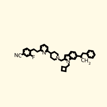 C=C(Cc1ccccc1)c1ccc2cc(CN3CCC(c4cccc(CCc5ccc(C#N)cc5F)n4)CC3)n(CC3CCC3)c2c1